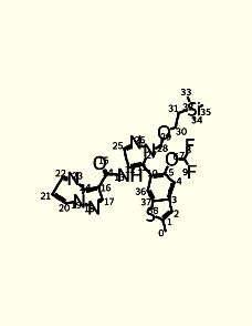 Cc1cc2cc(OC(F)F)c(-c3c(NC(=O)c4cnn5cccnc45)cnn3COCC[Si](C)(C)C)cc2s1